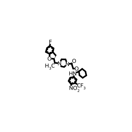 C[C@@H]([C@H]1Cc2cc(F)ccc2O1)N1CCN(C(=O)COC2(Nc3ccc([N+](=O)[O-])c(C(F)(F)F)c3)CCCCC2)CC1